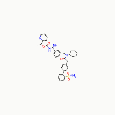 CC(OC(=O)NC(=N)c1cccc(CN(C(=O)Cc2ccc(-c3ccccc3S(N)(=O)=O)cc2)C2CCCCC2)c1)c1ccccn1